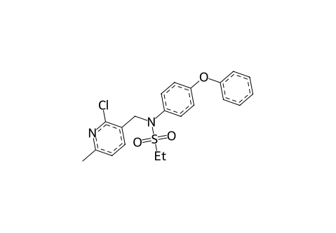 CCS(=O)(=O)N(Cc1ccc(C)nc1Cl)c1ccc(Oc2ccccc2)cc1